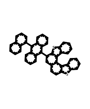 c1ccc2c(-c3c4ccccc4c(-c4cc5ccc6sc7ccccc7c6c5c5c4sc4ccccc45)c4ccccc34)cccc2c1